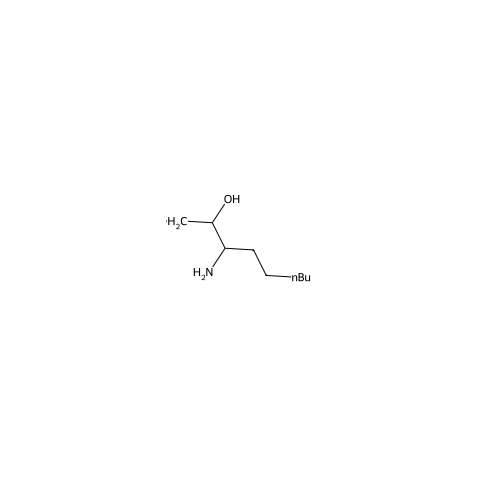 [CH2]C(O)C(N)CCCCCC